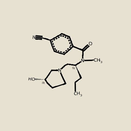 CCC[C@@H](CN1CC[C@H](O)C1)N(C)C(=O)c1ccc(C#N)cc1